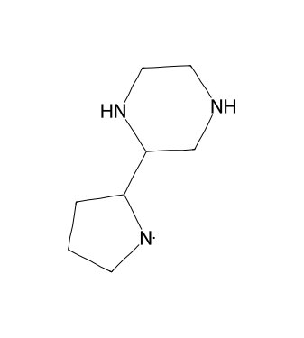 C1C[N]C(C2CNCCN2)C1